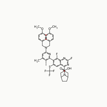 COc1ccc(CN(Cc2ccc(OC)cc2)c2cc(C)c(I)c(-c3c(SC(F)(F)F)cc4c(N5CC6CCC(C5)N6C(=O)O)nc(F)nc4c3F)n2)cc1